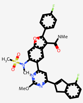 CNC(=O)c1c(-c2ccc(F)cc2)oc2cc(N(C)S(C)(=O)=O)c(-c3cc(C4=Cc5c(F)cccc5C4)nc(OC)n3)cc12